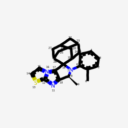 Cc1ccccc1N1[C@@H](C)c2nc3sccn3c2C12C1CC3CC(C1)CC2C3